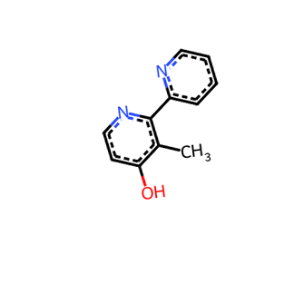 Cc1c(O)ccnc1-c1ccccn1